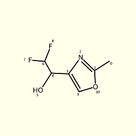 Cc1nc(C(O)C(F)F)[c]o1